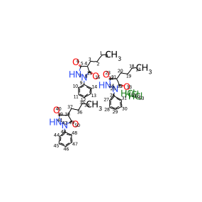 CCCCC1C(=O)NN(c2ccccc2)C1=O.CCCCC1C(=O)NN(c2ccccc2)C1=O.CCCCC1C(=O)NN(c2ccccc2)C1=O.Cl.Cl.Cl